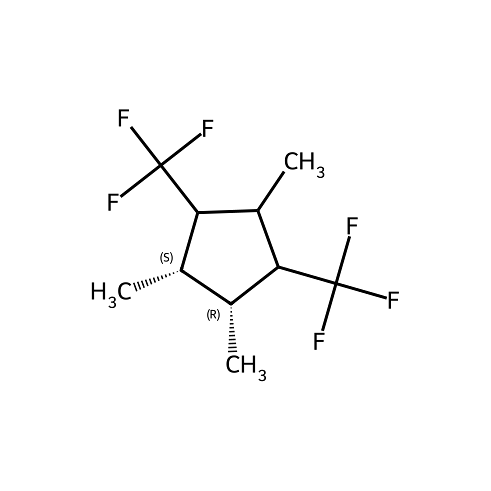 CC1C(C(F)(F)F)[C@@H](C)[C@@H](C)C1C(F)(F)F